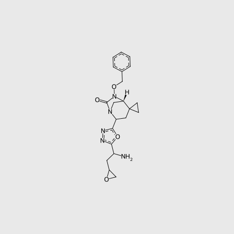 NC(CC1CO1)c1nnc(C2CC3(CC3)[C@@H]3CN2C(=O)N3OCc2ccccc2)o1